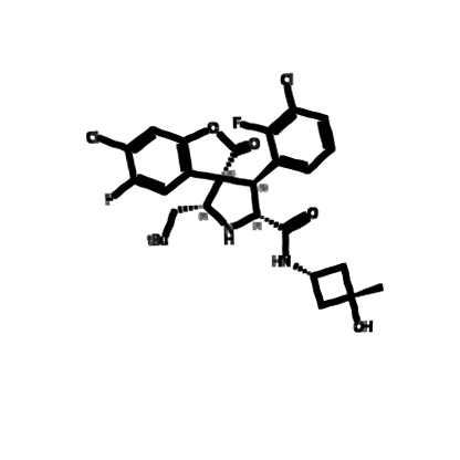 CC(C)(C)C[C@H]1N[C@@H](C(=O)N[C@H]2C[C@@](C)(O)C2)[C@H](c2cccc(Cl)c2F)[C@@]12C(=O)Oc1cc(Cl)c(F)cc12